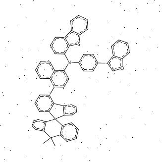 CC1(C)c2ccccc2C2(c3ccccc3-c3c(-c4ccc(N(c5ccc(-c6coc7ccccc67)cc5)c5cccc6c5sc5ccccc56)c5ccccc45)cccc32)c2ccccc21